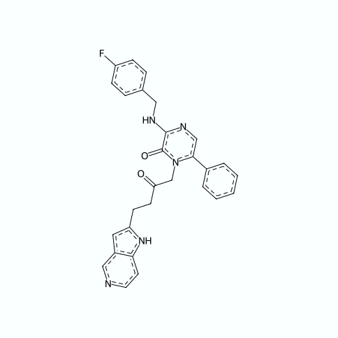 O=C(CCc1cc2cnccc2[nH]1)Cn1c(-c2ccccc2)cnc(NCc2ccc(F)cc2)c1=O